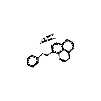 C1=Cc2c(CCc3ccccc3)ccc3cccc(c23)C1.N=C=O.N=C=O